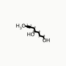 CC#CCC(O)CCCO